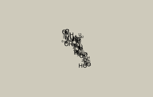 C[C@@H](O)[C@H](CN[C@]12CC[C@@H](C3(C)CC3)[C@@H]1[C@H]1CC[C@@H]3[C@@]4(C)CC[C@H](OC(=O)[C@H]5C[C@@H](C(=O)O)C5(C)C)C(C)(C)[C@@H]4CC[C@@]3(C)[C@]1(C)CC2)N1CCS(=O)(=O)CC1